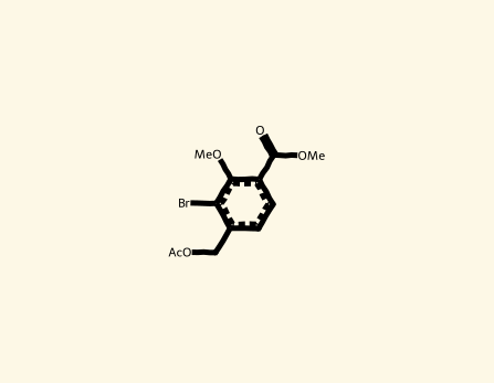 COC(=O)c1ccc(COC(C)=O)c(Br)c1OC